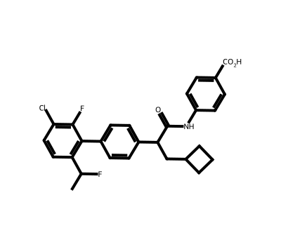 CC(F)c1ccc(Cl)c(F)c1-c1ccc(C(CC2CCC2)C(=O)Nc2ccc(C(=O)O)cc2)cc1